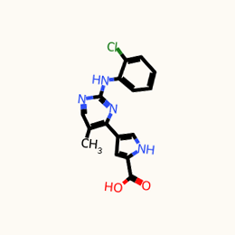 Cc1cnc(Nc2ccccc2Cl)nc1-c1c[nH]c(C(=O)O)c1